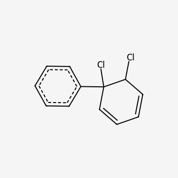 ClC1C=CC=CC1(Cl)c1ccccc1